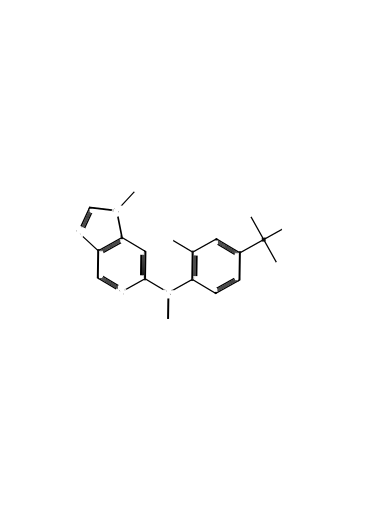 CCc1cc(C(C)(C)O)ccc1N(C)c1cc2c(cn1)ncn2C